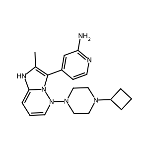 CC1=C(c2ccnc(N)c2)N2C(=CC=CN2N2CCN(C3CCC3)CC2)N1